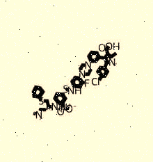 Cc1c(C(=O)O)c(-c2cccc(N3CCN(c4ccc(NSc5ccc(N[C@H](CCN(C)C)CSc6ccccc6)c([N+](=O)[O-])c5)cc4F)CC3)c2)c(-c2ccc(Cl)cc2)n1C